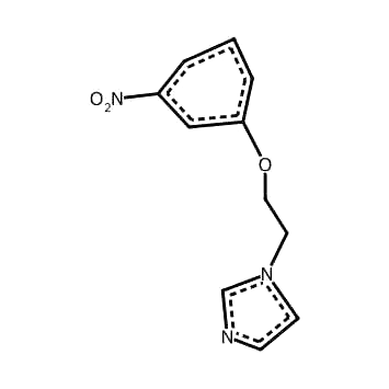 O=[N+]([O-])c1cccc(OCCn2ccnc2)c1